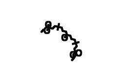 CCOC(=O)CCC(C)(C)CCCC(=O)CCCC(C)(C)CCC(=O)OCC